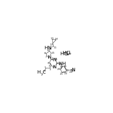 CCCc1cc(N2CCC(NCC3CC3)C2)nc(Nc2cccc(C#N)c2)n1.Cl.Cl